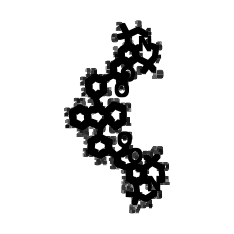 CC1(C)CCN2CCC(C)(C)c3c2c1cc1cc(-c2cccc(-c4c5ccccc5c(-c5cccc(-c6cc7cc8c9c(c7oc6=O)C(C)(C)CCN9CCC8(C)C)c5)c5ccccc45)c2)c(=O)oc31